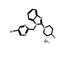 N[C@@H]1CN(c2nc3ccccc3n2Cc2ncc(Br)cn2)CC[C@H]1F